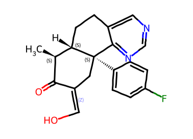 C[C@@H]1C(=O)/C(=C\O)C[C@]2(c3ccc(F)cc3)c3ncncc3CC[C@@H]12